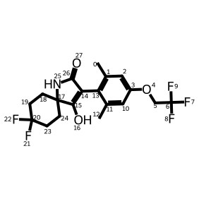 Cc1cc(OCC(F)(F)F)cc(C)c1C1=C(O)C2(CCC(F)(F)CC2)NC1=O